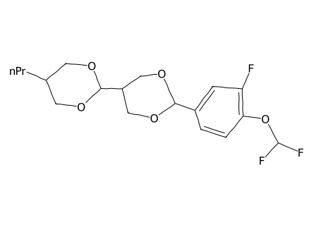 CCCC1COC(C2COC(c3ccc(OC(F)F)c(F)c3)OC2)OC1